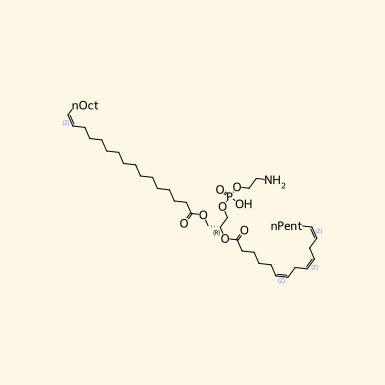 CCCCC/C=C\C/C=C\C/C=C\CCCCC(=O)O[C@H](COC(=O)CCCCCCCCCCCCC/C=C\CCCCCCCC)COP(=O)(O)OCCN